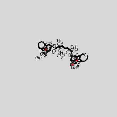 CC(C)(C)OC(=O)NC1C2CCCCCC1(C)c1cc(OC(=O)C(C)(C)CCCC(C)(C)C(=O)Oc3cc(F)c4c(c3)C3(C)CCCCCC(C4)C3NC(=O)OC(C)(C)C)cc(F)c1C2